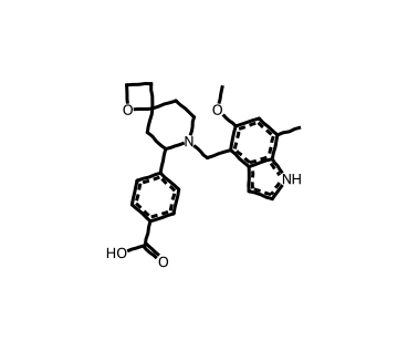 COc1cc(C)c2[nH]ccc2c1CN1CCC2(CCO2)CC1c1ccc(C(=O)O)cc1